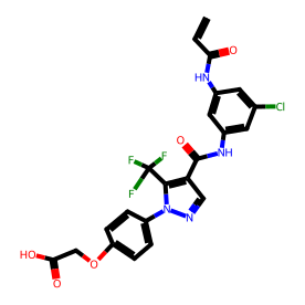 C=CC(=O)Nc1cc(Cl)cc(NC(=O)c2cnn(-c3ccc(OCC(=O)O)cc3)c2C(F)(F)F)c1